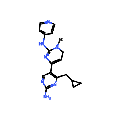 CCN1CC=C(c2cnc(N)nc2CC2CC2)N=C1Nc1ccncc1